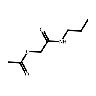 CCCNC(=O)COC(C)=O